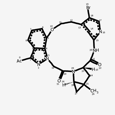 CC(=O)c1nn2c3c(cccc13)OCCc1cc(ncc1Br)NC(=O)[C@@H]1CC3(C)C[C@H]3N1C(=O)C2